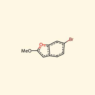 COc1cc2ccc(Br)cc2o1